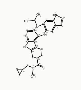 CC(C)Oc1cc2[nH]ncc2cc1Nc1ncnc2sc3c(c12)CCC(C(=O)N(C)CC1CC1)C3